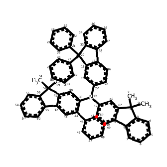 CC1(C)c2ccccc2-c2ccc(N(c3ccc4c(c3)C(c3ccccc3)(c3ccccc3)c3ccccc3-4)c3cc4c(cc3-c3ccccc3)-c3ccccc3C4(C)C)cc21